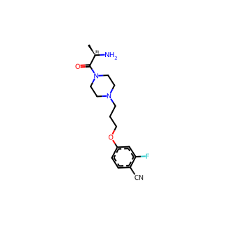 C[C@@H](N)C(=O)N1CCN(CCCOc2ccc(C#N)c(F)c2)CC1